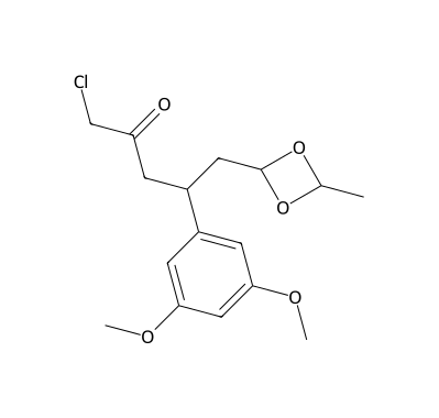 COc1cc(OC)cc(C(CC(=O)CCl)CC2OC(C)O2)c1